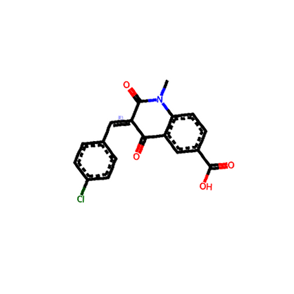 CN1C(=O)/C(=C/c2ccc(Cl)cc2)C(=O)c2cc(C(=O)O)ccc21